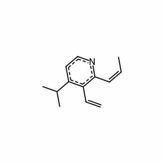 C=Cc1c(C(C)C)ccnc1/C=C\C